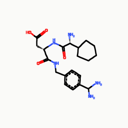 NC(N)c1ccc(CNC(=O)[C@H](CC(=O)O)NC(=O)[C@H](N)C2CCCCC2)cc1